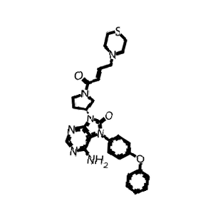 Nc1ncnc2c1n(-c1ccc(Oc3ccccc3)cc1)c(=O)n2[C@@H]1CCN(C(=O)C=CCN2CCSCC2)C1